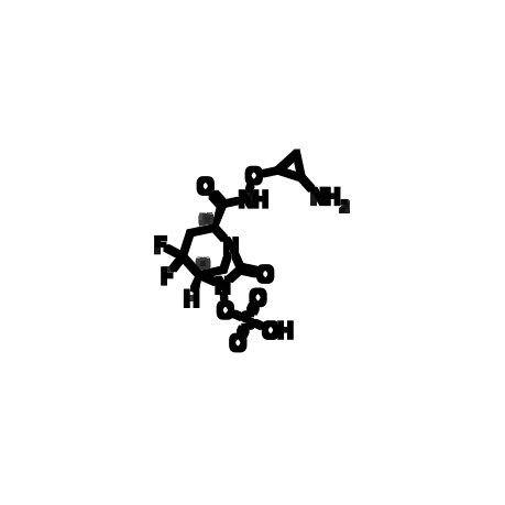 NC1CC1ONC(=O)[C@@H]1CC(F)(F)[C@@H]2CN1C(=O)N2OS(=O)(=O)O